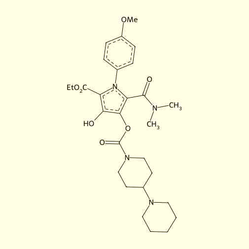 CCOC(=O)c1c(O)c(OC(=O)N2CCC(N3CCCCC3)CC2)c(C(=O)N(C)C)n1-c1ccc(OC)cc1